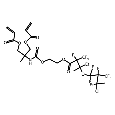 C=CC(=O)OCC(C)(COC(=O)C=C)NC(=O)OCCOC(=O)C(F)(C(F)(F)F)C(C)(CC)OC(F)(F)C(F)(C(F)(F)F)C(C)(O)CC